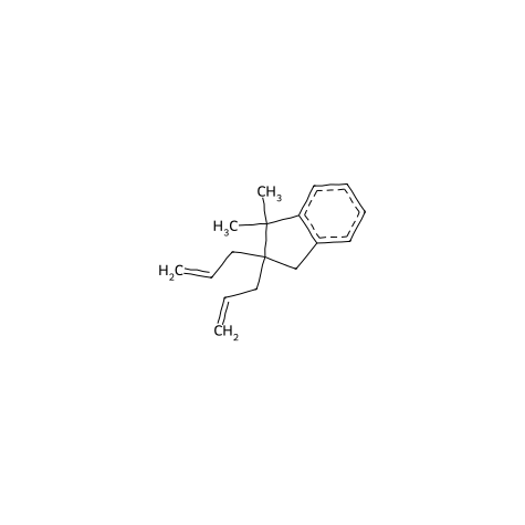 C=CCC1(CC=C)Cc2ccccc2C1(C)C